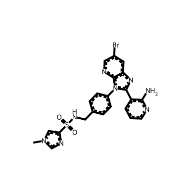 Cn1cnc(S(=O)(=O)NCc2ccc(-n3c(-c4cccnc4N)nc4cc(Br)cnc43)cc2)c1